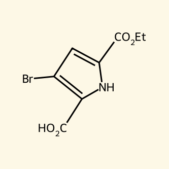 CCOC(=O)c1cc(Br)c(C(=O)O)[nH]1